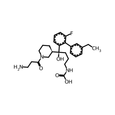 CCc1cccc(-c2c(F)cccc2[C@](O)(CCCNC(=O)O)[C@@H]2CCCN(C(=O)CCN)C2)c1